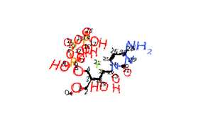 COC[C@@H](COP(=O)(O)OP(=O)(O)OP(=O)(O)O)[C@@H](O)[C@@H](F)[C@@H](O)n1ccc(N)nc1=O